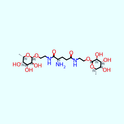 C[C@@H]1O[C@@H](OCCNC(=O)CC[C@H](N)C(=O)NCCO[C@@H]2O[C@@H](C)[C@@H](O)[C@@H](O)[C@@H]2O)[C@@H](O)[C@H](O)[C@@H]1O